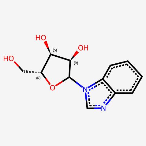 OC[C@H]1OC(n2cnc3ccccc32)[C@H](O)[C@@H]1O